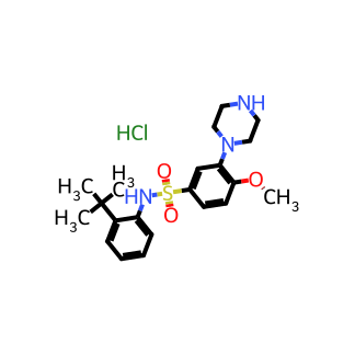 COc1ccc(S(=O)(=O)Nc2ccccc2C(C)(C)C)cc1N1CCNCC1.Cl